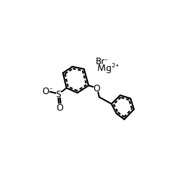 O=S([O-])c1cccc(OCc2ccccc2)c1.[Br-].[Mg+2]